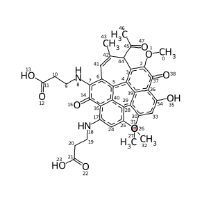 COc1c2c3c4c(c(NCCC(=O)O)c(=O)c5c(NCCC(=O)O)cc(OC)c(c6c(OC)cc(O)c(c1=O)c63)c54)C=C(C)C2C(C)=O